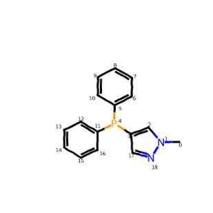 Cn1cc(P(c2ccccc2)c2ccccc2)cn1